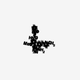 COc1cc(NC(=O)C=CS(=O)(=O)c2ccccc2)ccc1-c1cc2ncnc(N)c2n1C1CCN(Cc2cccc(C)n2)CC1